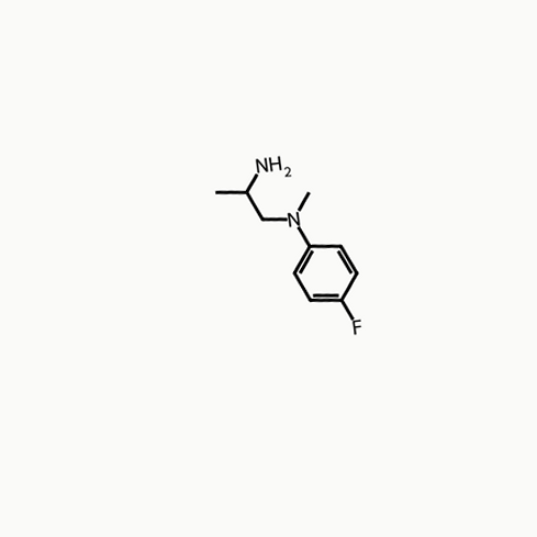 CC(N)CN(C)c1ccc(F)cc1